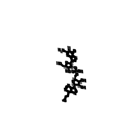 COCCc1ncnc2c1ncn2[C@@H]1O[C@H](COP(=O)(O)O[C@@H]2[C@H](O)[C@@H](CO)O[C@H]2n2cnc3c(=O)[nH]c(N)nc32)[C@@H](O)[C@H]1O